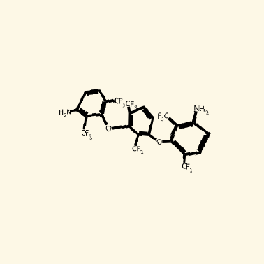 Nc1ccc(C(F)(F)F)c(Oc2ccc(C(F)(F)F)c(Oc3c(C(F)(F)F)ccc(N)c3C(F)(F)F)c2C(F)(F)F)c1C(F)(F)F